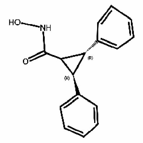 O=C(NO)C1[C@H](c2ccccc2)[C@H]1c1ccccc1